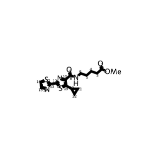 COC(=O)CCCCNC(=O)c1nc(-c2nccs2)sc1C1CC1